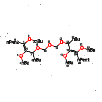 CCCCCC(OCCCC)=C(OCCCC)C(CCCC)OCOCOC(CCCC)C(OCCCC)=C(CCCCC)OCCCC